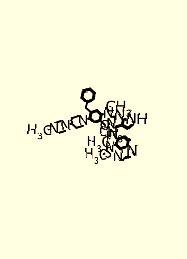 COc1cc(N2CCC(N3CCN(C)CC3)CC2)c(Cc2ccccc2)cc1N(C)c1nc(N(I)c2ccc3nccnc3c2N(C)SC)c2cc[nH]c2n1